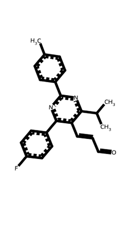 Cc1ccc(-c2nc(-c3ccc(F)cc3)c(/C=C/C=O)c(C(C)C)n2)cc1